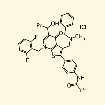 CC(C)C(=O)Nc1ccc(-c2sc3c(c2CN(C)Cc2ccccc2)c(=O)c(C(O)C(C)C)cn3Cc2c(F)cccc2F)cc1.Cl